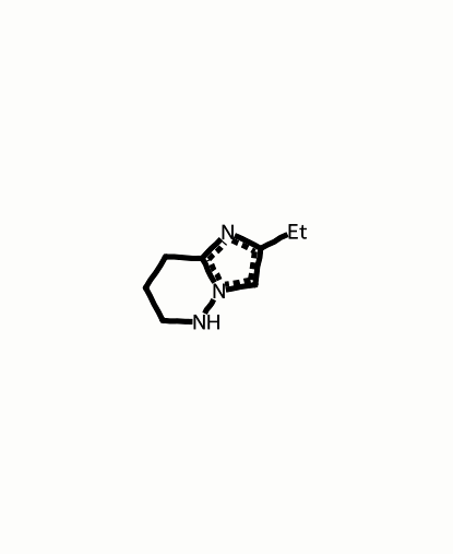 CCc1cn2c(n1)CCCN2